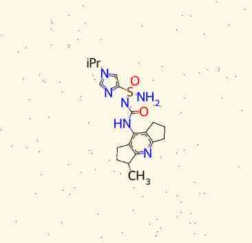 CC1CCc2c1nc1c(c2NC(=O)N=[S@](N)(=O)c2cn(C(C)C)cn2)CCC1